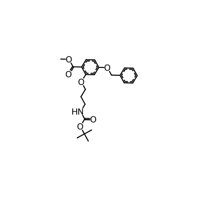 COC(=O)c1ccc(OCc2ccccc2)cc1OCCCNC(=O)OC(C)(C)C